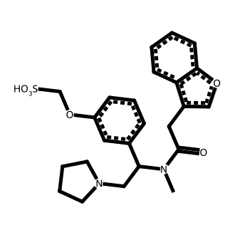 CN(C(=O)Cc1coc2ccccc12)C(CN1CCCC1)c1cccc(OCS(=O)(=O)O)c1